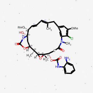 COc1cc2cc(c1Cl)N(C)C(=O)C[C@H](OC(=O)Nc1ccccc1N)[C@]1(C)O[C@H]1[C@H](C)[C@@H]1C[C@@](O)(NC(=O)O1)[C@H](OC)/C=C/C=C(\C)C2